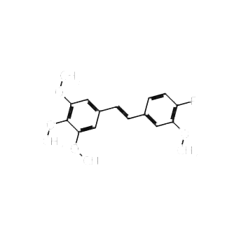 COc1cc(C=Cc2cc(OC)c(OC)c(OC)c2)ccc1F